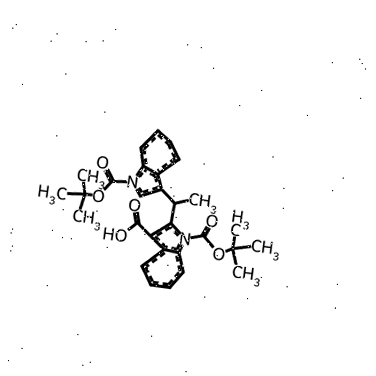 CC(c1cn(C(=O)OC(C)(C)C)c2ccccc12)c1c(C(=O)O)c2ccccc2n1C(=O)OC(C)(C)C